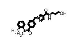 CN(C(=O)c1ccc(Cn2cc(C(=O)NCCCO)cn2)cc1)c1ccccc1N